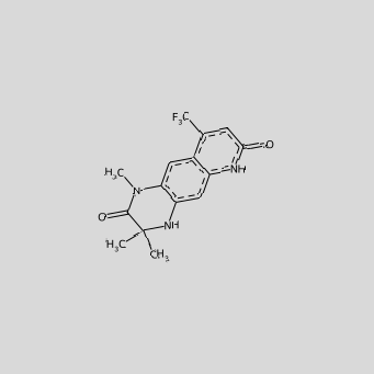 CN1C(=O)C(C)(C)Nc2cc3[nH]c(=O)cc(C(F)(F)F)c3cc21